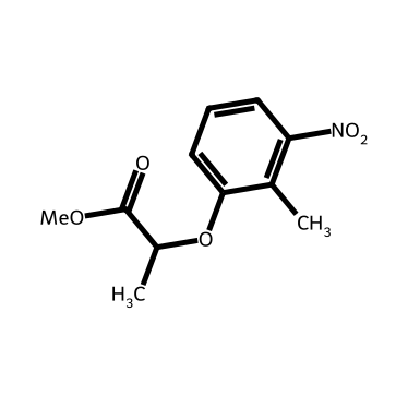 COC(=O)C(C)Oc1cccc([N+](=O)[O-])c1C